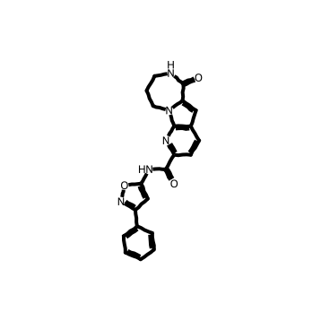 O=C(Nc1cc(-c2ccccc2)no1)c1ccc2cc3n(c2n1)CCCNC3=O